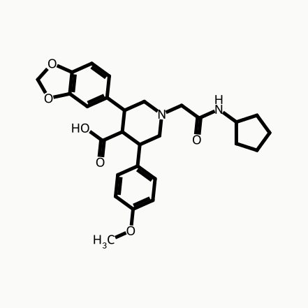 COc1ccc(C2CN(CC(=O)NC3CCCC3)CC(c3ccc4c(c3)OCO4)C2C(=O)O)cc1